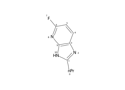 CCCc1nc2ccc(F)nc2[nH]1